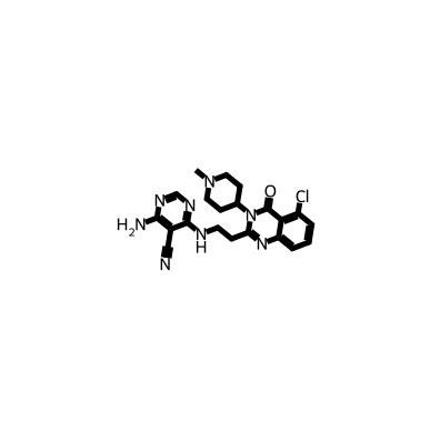 CN1CCC(n2c(CCNc3ncnc(N)c3C#N)nc3cccc(Cl)c3c2=O)CC1